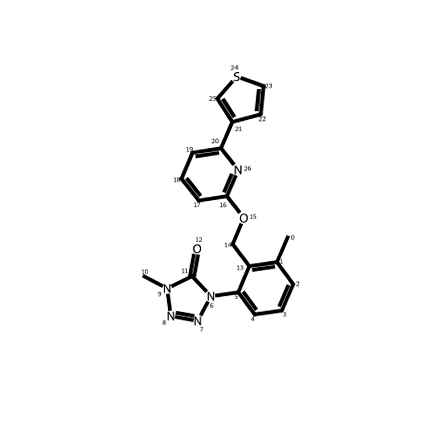 Cc1cccc(-n2nnn(C)c2=O)c1COc1cccc(-c2ccsc2)n1